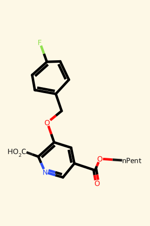 CCCCCOC(=O)c1cnc(C(=O)O)c(OCc2ccc(F)cc2)c1